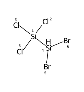 Cl[Si](Cl)(Cl)[SiH](Br)Br